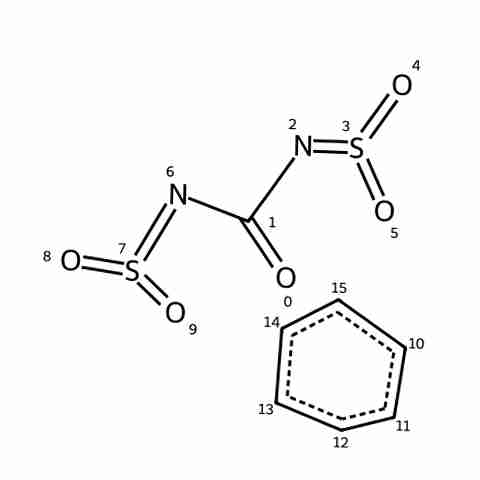 O=C(N=S(=O)=O)N=S(=O)=O.c1ccccc1